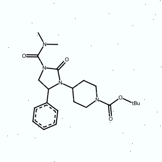 CN(C)C(=O)N1CC(c2ccccc2)N(C2CCN(C(=O)OC(C)(C)C)CC2)C1=O